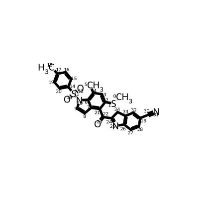 CSc1cc(C)c2c(ccn2S(=O)(=O)c2ccc(C)cc2)c1C(=O)C1=Nc2ccc(C#N)cc2C1